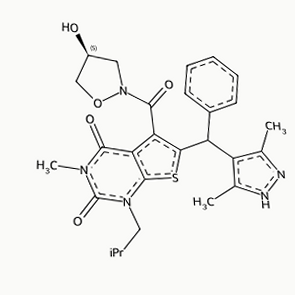 Cc1n[nH]c(C)c1C(c1ccccc1)c1sc2c(c1C(=O)N1C[C@H](O)CO1)c(=O)n(C)c(=O)n2CC(C)C